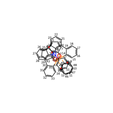 O=P(c1ccccc1)(c1ccccc1)c1ccccc1-c1cccc2c3cccc(-c4ccccc4P(=O)(c4ccccc4)c4ccccc4)c3n(-c3ccccc3)c12